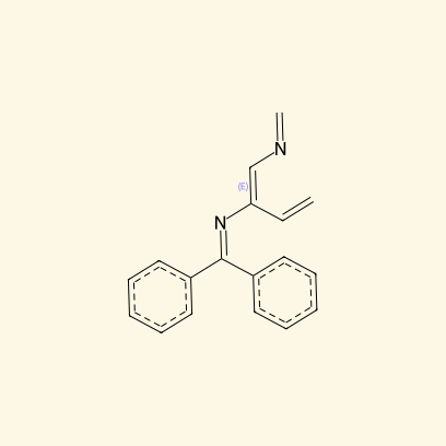 C=C/C(=C\N=C)N=C(c1ccccc1)c1ccccc1